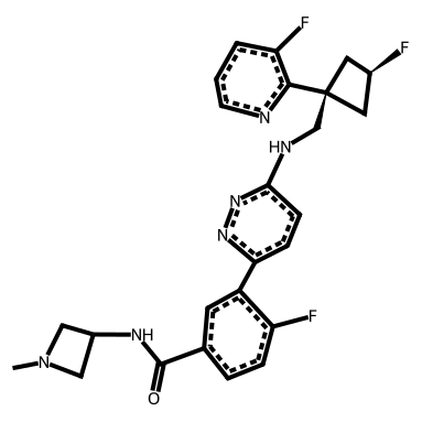 CN1CC(NC(=O)c2ccc(F)c(-c3ccc(NC[C@]4(c5ncccc5F)C[C@H](F)C4)nn3)c2)C1